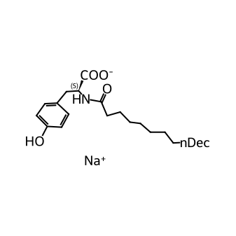 CCCCCCCCCCCCCCCCCC(=O)N[C@@H](Cc1ccc(O)cc1)C(=O)[O-].[Na+]